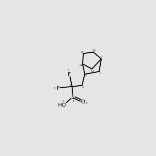 O=S(O)C(F)(F)CC1CC2CCC1C2